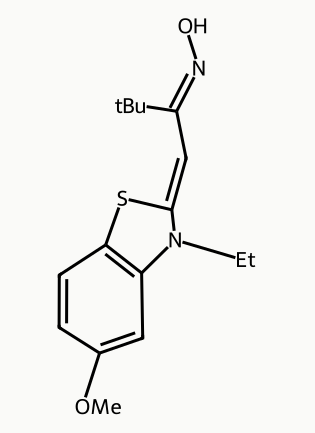 CCN1/C(=C/C(=N/O)C(C)(C)C)Sc2ccc(OC)cc21